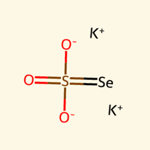 O=S([O-])([O-])=[Se].[K+].[K+]